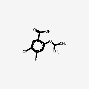 CC(C)Oc1cc(F)c(Cl)cc1C(=O)O